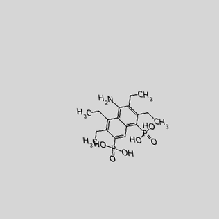 CCc1c(CC)c(N)c2c(CC)c(CC)c(P(=O)(O)O)cc2c1P(=O)(O)O